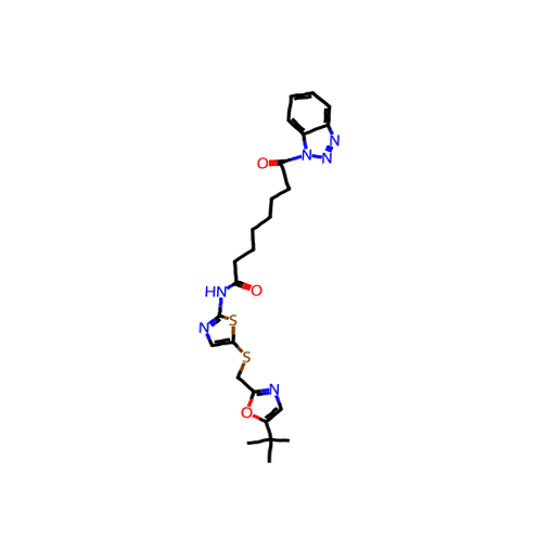 CC(C)(C)c1cnc(CSc2cnc(NC(=O)CCCCCCC(=O)n3nnc4ccccc43)s2)o1